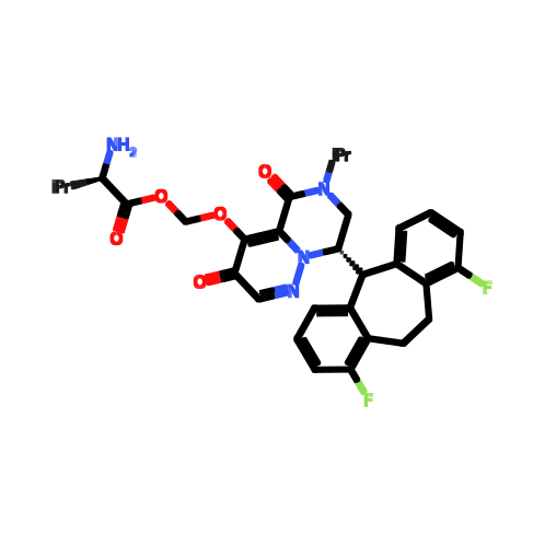 CC(C)[C@@H](N)C(=O)OCOc1c2n(ncc1=O)[C@@H](C1c3cccc(F)c3CCc3c(F)cccc31)CN(C(C)C)C2=O